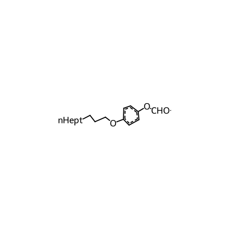 CCCCCCCCCCOc1ccc(O[C]=O)cc1